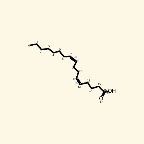 CCCCCCC/C=C\CC/C=C\CCCC(=O)O